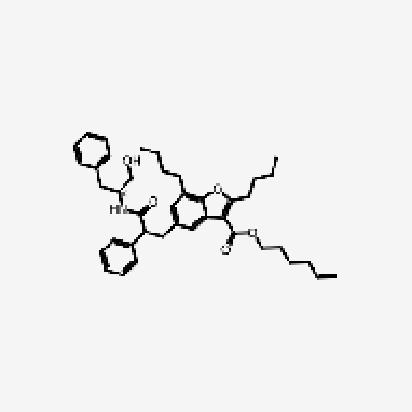 C=CCCCCOC(=O)c1c(CCCC)oc2c(CCCC)cc(CC(C(=O)N[C@H](CO)Cc3ccccc3)c3ccccc3)cc12